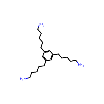 NCCCCCc1cc(CCCCCN)cc(CCCCCN)c1